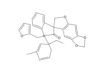 [CH]C1=CC(CC)([N+]2(Cc3ccco3)C(=O)C3(COc4cc5c(cc43)OCO5)c3ccccc32)CC=C1